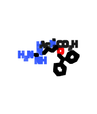 CC(=O)N(C)[C@](CCCNC(=N)N)(OCC(c1ccccc1)c1ccccc1)C(=O)O